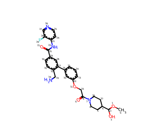 COC(O)C1CCN(C(=O)COc2cccc(-c3cc(C(=O)Nc4ccncc4F)ccc3CN)c2)CC1